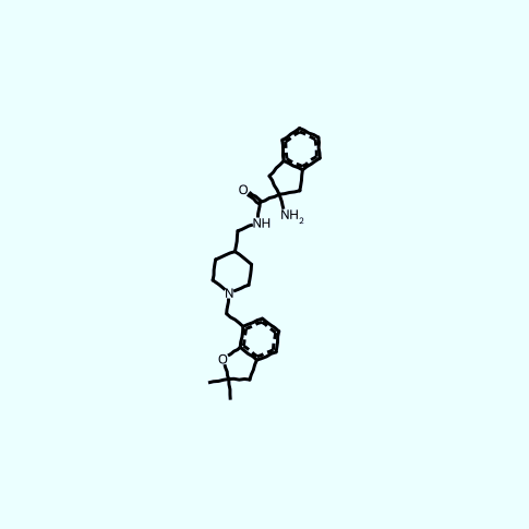 CC1(C)Cc2cccc(CN3CCC(CNC(=O)C4(N)Cc5ccccc5C4)CC3)c2O1